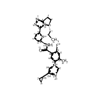 CCC[C@H]1CCc2nnc(-c3cccc(NC(=O)c4cc(-n5cnc(C6CC6)c5)c(C)cc4F)n3)n21